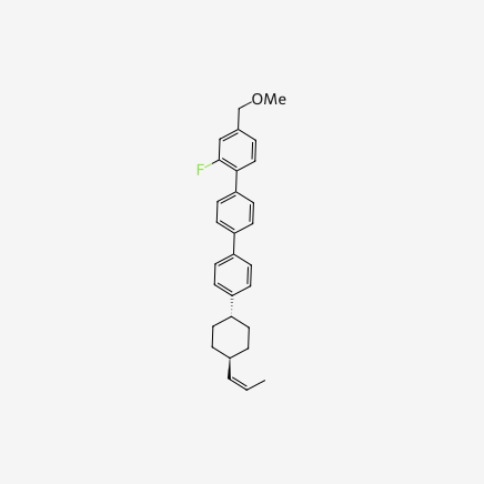 C/C=C\[C@H]1CC[C@H](c2ccc(-c3ccc(-c4ccc(COC)cc4F)cc3)cc2)CC1